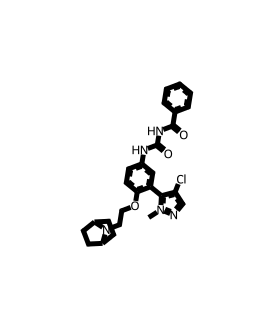 Cn1ncc(Cl)c1-c1cc(NC(=O)NC(=O)c2ccccc2)ccc1OCCN1C2CCC1CC2